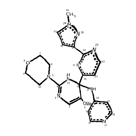 COC1=CN=C(N2CCOCC2)NC1(Nc1ccncc1)c1ccnc(-c2ccn(C)n2)n1